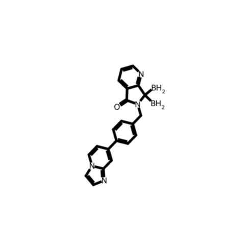 BC1(B)c2ncccc2C(=O)N1Cc1ccc(-c2ccn3ccnc3c2)cc1